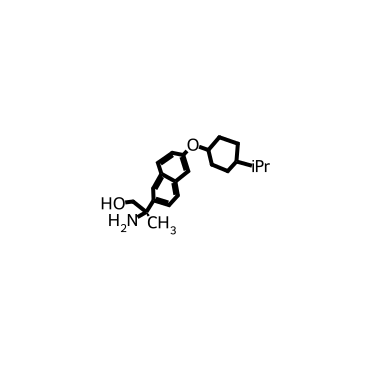 CC(C)C1CCC(Oc2ccc3cc([C@@](C)(N)CO)ccc3c2)CC1